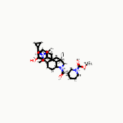 CCc1ccc(O)cc1C12CCN(CC3CC3)C(C)C13CCC1C2[C@@H](CN1C(=O)[C@H]1CCCN(C(=O)OC(C)(C)C)C1)C3